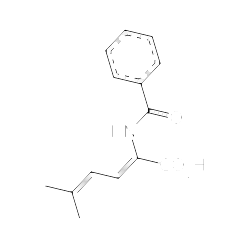 CC(C)=C/C=C(\NC(=O)c1ccccc1)C(=O)O